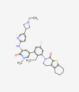 CCc1c(-c2cc(Nc3ccc(C4CN(CC)C4)cn3)c(=O)n(C)c2)cc(F)cc1N1CCc2c(sc3c2CCCC3)C1=O